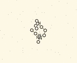 c1ccc(-c2ccc(-c3nc(-c4ccccc4)nc(-c4cccc(-c5cccc(-c6ccc(-c7nc8ccccc8c8ccc9ccccc9c78)cc6)c5)c4)n3)cc2)cc1